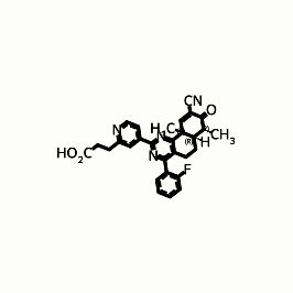 C[C@H]1C(=O)C(C#N)=C[C@@]2(C)c3nc(-c4ccnc(CCC(=O)O)c4)nc(-c4ccccc4F)c3CC[C@H]12